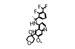 COc1cc2nccc(N[C@H](C)c3cccc(C(F)F)c3F)c2cc1C1(O)CCOCC1